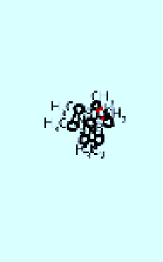 Cc1cccc(B2c3c(-c4cccnc4)c4c5c6c3-n3c7c2ccc(C)c7c2c(C)ccc(c23)B6c2ccc(C)c3c6c(C)ccc(c6n-5c23)B4c2cccc(C)c2)c1